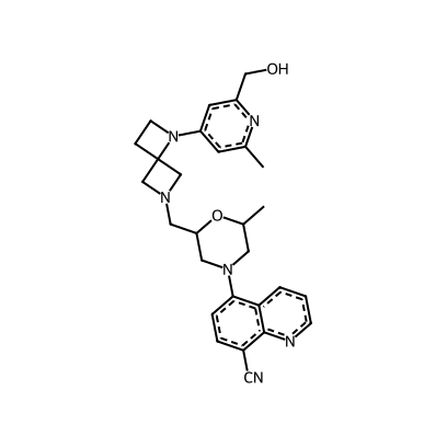 Cc1cc(N2CCC23CN(CC2CN(c4ccc(C#N)c5ncccc45)CC(C)O2)C3)cc(CO)n1